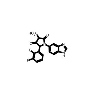 O=C(O)C1C(=O)C(c2cccc(F)c2F)N(c2ccc3[nH]cnc3c2)C1=O